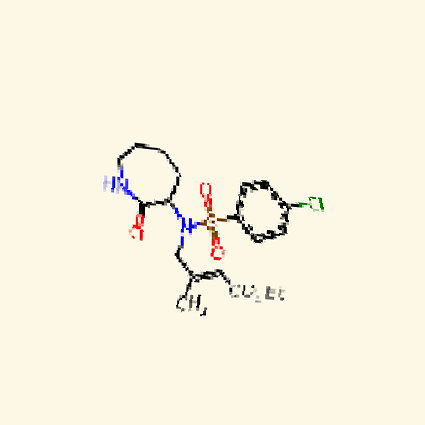 CCOC(=O)C=C(C)CN([C@@H]1CCCCNC1=O)S(=O)(=O)c1ccc(Cl)cc1